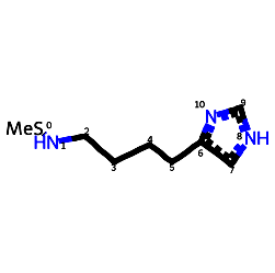 CSNCCCCc1c[nH]cn1